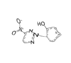 O=[N+]([O-])c1cnn(-c2ccccc2O)n1